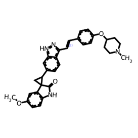 COc1ccc2c(c1)C1(CC1c1ccc3c(/C=C/c4ccc(OC5CCN(C)CC5)cc4)n[nH]c3c1)C(=O)N2